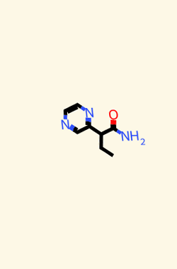 CCC(C(N)=O)c1cnccn1